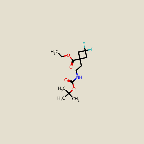 CCOC(=O)C1(CCNC(=O)OC(C)(C)C)CC(F)(F)C1